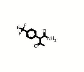 CC(=O)C(C(N)=O)c1ccc(C(F)(F)F)cc1